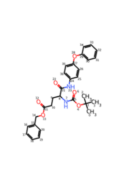 CC(C)(C)OC(=O)NC(CCC(=O)OCc1ccccc1)C(=O)Nc1ccc(Oc2ccccc2)cc1